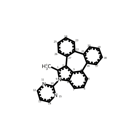 Cc1c2c3c(cccc3n1-c1ncccn1)-c1ccccc1-c1ccccc1-2